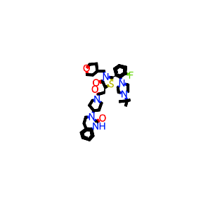 CC(C)(C)N1CCN(c2c(F)cccc2[C@@H]2S[C@@H](CC(=O)N3CCC(N4CCc5ccccc5NC4=O)CC3)C(=O)N2CC2CCOCC2)CC1